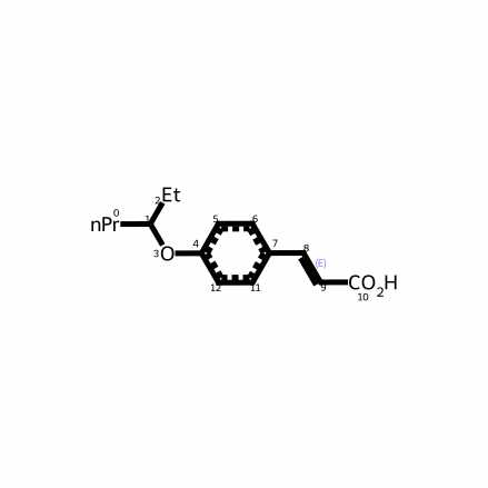 CCCC(CC)Oc1ccc(/C=C/C(=O)O)cc1